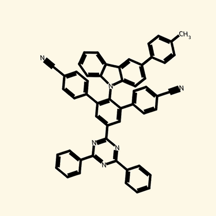 Cc1ccc(-c2ccc3c(c2)c2ccccc2n3-c2c(-c3ccc(C#N)cc3)cc(-c3nc(-c4ccccc4)nc(-c4ccccc4)n3)cc2-c2ccc(C#N)cc2)cc1